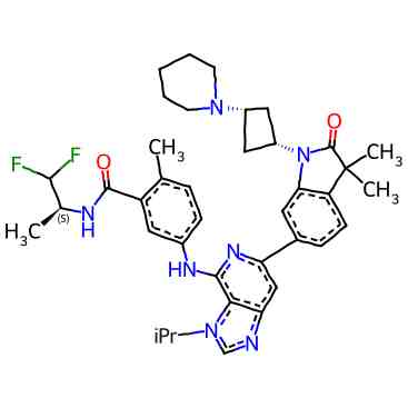 Cc1ccc(Nc2nc(-c3ccc4c(c3)N([C@H]3C[C@@H](N5CCCCC5)C3)C(=O)C4(C)C)cc3ncn(C(C)C)c23)cc1C(=O)N[C@@H](C)C(F)F